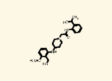 COc1cccc(NC2CCN(CC(=O)Nc3ccccc3C(C)O)CC2)c1CO